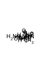 CCc1nc2ccccc2n1-c1nc(N2CCOCC2)c2nc(CN3C[C@@H]4C[C@H]3CN4CC(N)=O)n(C)c2n1